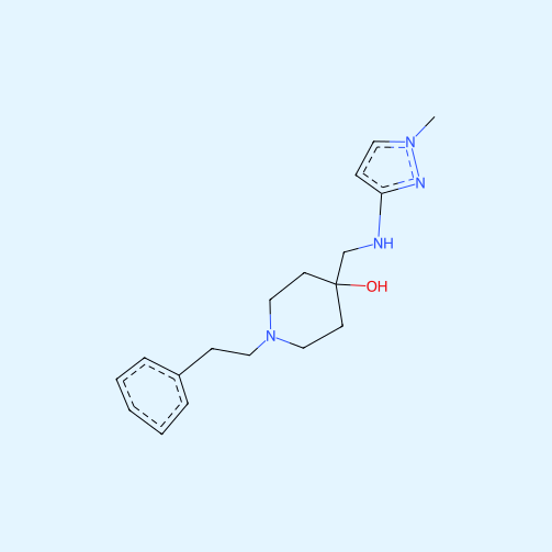 Cn1ccc(NCC2(O)CCN(CCc3ccccc3)CC2)n1